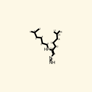 CC(C)CCCCP/C(=C\N=N)CCCC(C)C